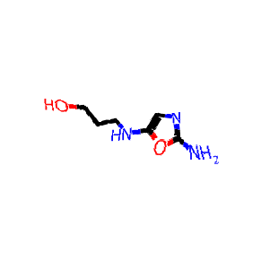 Nc1ncc(NCCCO)o1